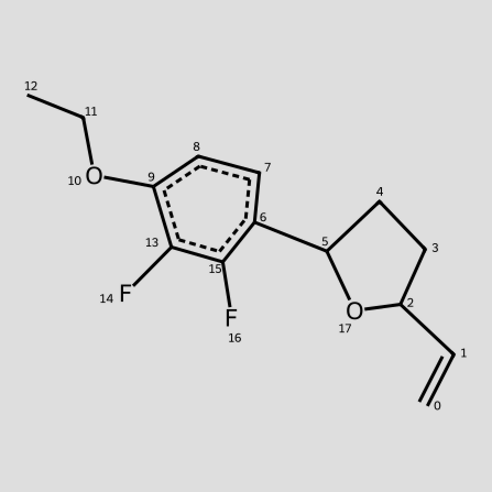 C=CC1CCC(c2ccc(OCC)c(F)c2F)O1